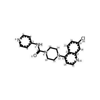 O=C(Nc1ccncc1)N1CCN(c2ccnc3cc(Cl)ccc23)CC1